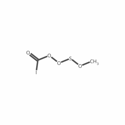 COSOOC(=O)I